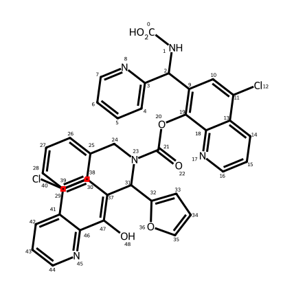 O=C(O)NC(c1ccccn1)c1cc(Cl)c2cccnc2c1OC(=O)N(Cc1ccccc1)C(c1ccco1)c1cc(Cl)c2cccnc2c1O